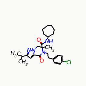 CC(C)c1cc2n(n1)CC(C)(C(=O)NC1CCCCCC1)N(CCc1ccc(Cl)cc1)C2=O